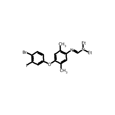 CCN(/C=N/c1cc(C)c(Oc2ccc(Br)c(I)c2)cc1C)CC